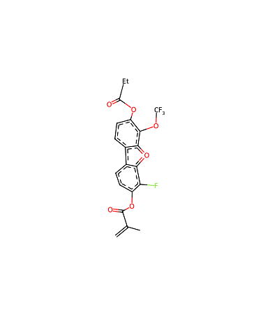 C=C(C)C(=O)Oc1ccc2c(oc3c(OC(F)(F)F)c(OC(=O)CC)ccc32)c1F